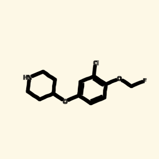 FCOc1ccc(OC2CCNCC2)cc1Cl